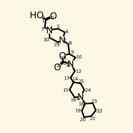 O=C(O)CN1CCN(CC2CN(CCC3CCN(C4CCCCC4)CC3)C(=O)O2)CC1